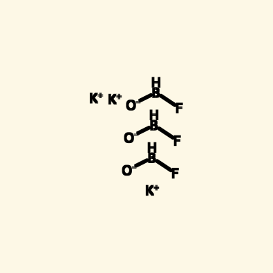 [K+].[K+].[K+].[O-]BF.[O-]BF.[O-]BF